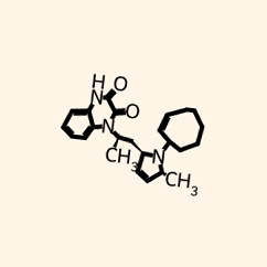 C[C@H](C[C@@H]1C=C[C@H](C)N1C1/C=C\CCCCC1)n1c(=O)c(=O)[nH]c2ccccc21